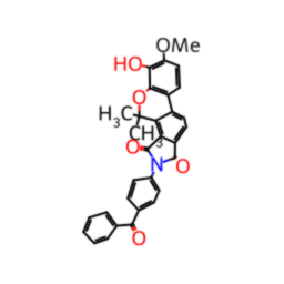 COc1ccc2c(c1O)OC(C)(C)c1c-2ccc2c1C(=O)N(c1ccc(C(=O)c3ccccc3)cc1)C2=O